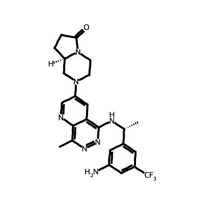 Cc1nnc(N[C@H](C)c2cc(N)cc(C(F)(F)F)c2)c2cc(N3CCN4C(=O)CC[C@@H]4C3)cnc12